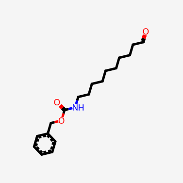 O=CCCCCCCCCCNC(=O)OCc1ccccc1